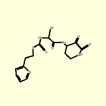 CC(C)C(NC(=O)OCCc1ccccn1)C(=O)NC1CCNC(=O)C1=O